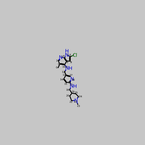 Cc1cnc2[nH]c(Cl)cc2c1NCc1ccc(NCC2CCN(C)CC2)nc1